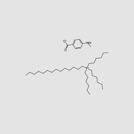 CCCCCCCCCCCCCC[P+](CCCCCC)(CCCCCC)CCCCCC.CNc1ccc(C(=O)[O-])cc1